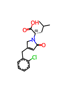 CC(C)C[C@@H](C(=O)O)N1CC(Cc2ccccc2Cl)=CC1=O